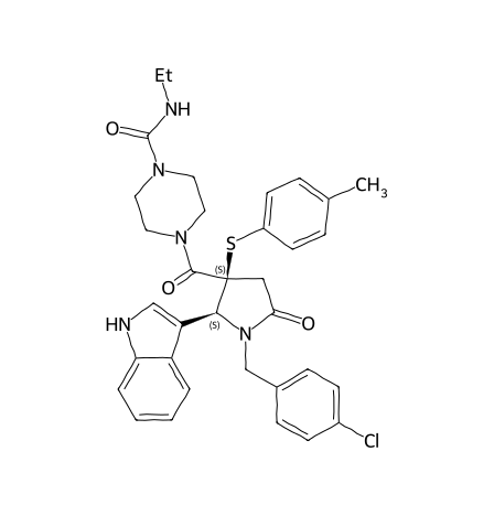 CCNC(=O)N1CCN(C(=O)[C@]2(Sc3ccc(C)cc3)CC(=O)N(Cc3ccc(Cl)cc3)[C@H]2c2c[nH]c3ccccc23)CC1